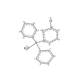 PC(c1ccccc1)(c1ccccc1)c1cccc(Cl)c1